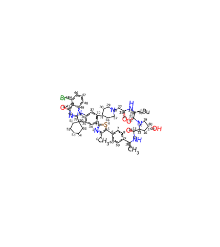 Cc1ncsc1-c1ccc([C@H](C)NC(=O)[C@@H]2C[C@@H](O)CN2C(=O)[C@@H](NC(=O)CN2CCC(c3ccc4c(c3)-n3c(nc(=O)c5c(Br)cccc53)C43CCCCC3)CC2)C(C)(C)C)cc1